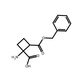 NC1(C(=O)O)CCC1C(=O)OCc1ccccc1